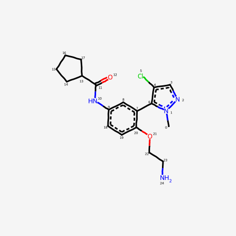 Cn1ncc(Cl)c1-c1cc(NC(=O)C2CCCC2)ccc1OCCN